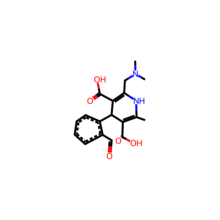 CC1=C(C(=O)O)C(c2ccccc2C=O)C(C(=O)O)=C(CN(C)C)N1